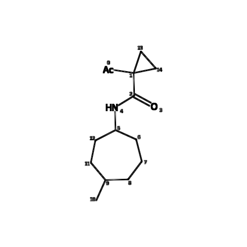 CC(=O)C1(C(=O)NC2CCCC(C)CC2)CC1